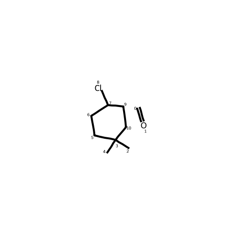 C=O.CC1(C)CCC(Cl)CC1